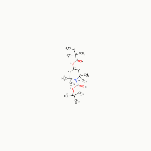 CCC(C)(C)C(=O)OC1CC(C)(C)N(C(=O)OC(C)(C)C)C(C)(C)C1